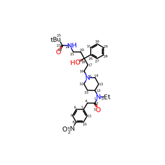 CCN(C(=O)Cc1ccc([N+](=O)[O-])cc1)C1CCN(CCC(O)(CCNC(=O)C(C)(C)C)c2ccccc2)CC1